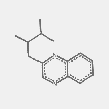 CC(C)C(C)Cc1cnc2ccccc2n1